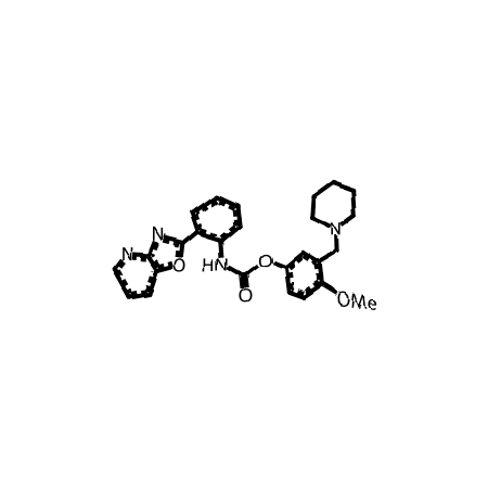 COc1ccc(OC(=O)Nc2ccccc2-c2nc3ncccc3o2)cc1CN1CCCCC1